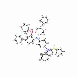 c1ccc(-c2ccc(N(c3ccc(-n4c5ccccc5c5c6ccccc6sc54)cc3)c3ccc(-c4ccccc4)c4c3oc3ccccc34)cc2)cc1